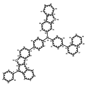 c1ccc(-n2c3ccccc3c3c4cc(-c5ccc(N(c6ccc(-c7cccc8ccccc78)cc6)c6ccc7c(c6)oc6ccccc67)cc5)ccc4oc32)cc1